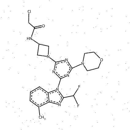 Cc1cccc2c1nc(C(F)F)n2-c1nc(N2CCOCC2)nc(N2CC(NC(=O)CCl)C2)n1